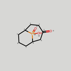 O=C1CCC2CCCC(C1)P2(=O)O